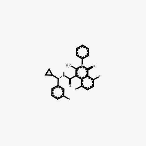 Cc1c(C(=O)N[C@H](c2cccc(F)c2)C2CC2)c2c(F)ccc(F)c2c(=O)n1-c1ccccc1